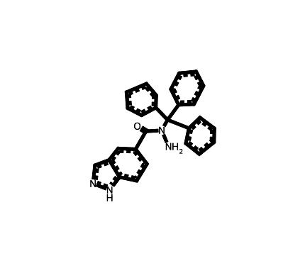 NN(C(=O)c1ccc2[nH]ncc2c1)C(c1ccccc1)(c1ccccc1)c1ccccc1